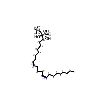 CCCCCCCC/C=C\CCC/C=C\CCCCCCCC(O)(C[N+](C)(C)C)P(=O)(O)O